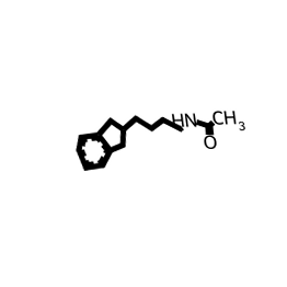 CC(=O)NCCCCC1Cc2ccccc2C1